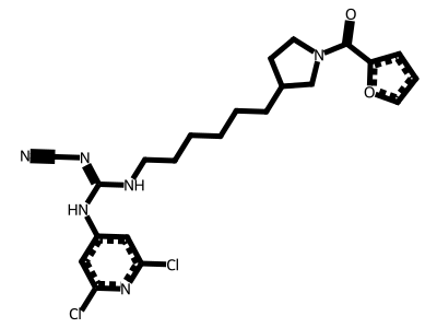 N#C/N=C(/NCCCCCCC1CCN(C(=O)c2ccco2)C1)Nc1cc(Cl)nc(Cl)c1